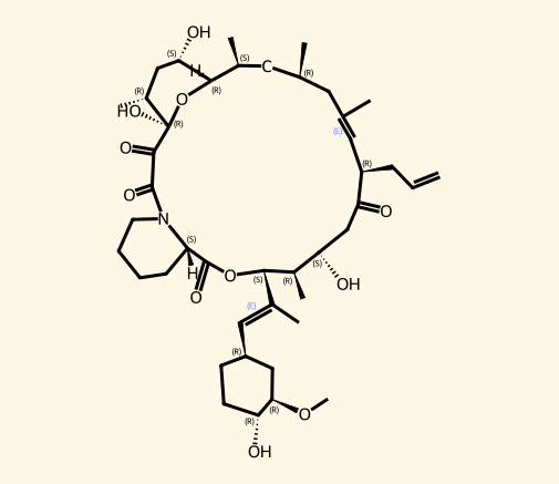 C=CC[C@@H]1/C=C(\C)C[C@H](C)C[C@H](C)[C@H]2O[C@@](O)(C(=O)C(=O)N3CCCC[C@H]3C(=O)O[C@H](/C(C)=C/[C@@H]3CC[C@@H](O)[C@H](OC)C3)[C@H](C)[C@@H](O)CC1=O)[C@H](C)C[C@@H]2O